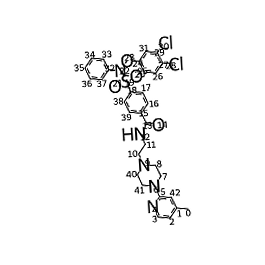 Cc1ccnc(N2CCN(CCNC(=O)c3ccc(S(=O)(=O)N(Oc4ccc(Cl)c(Cl)c4)c4ccccc4)cc3)CC2)c1